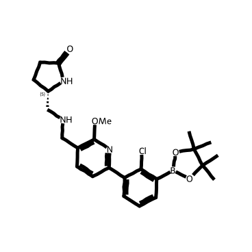 COc1nc(-c2cccc(B3OC(C)(C)C(C)(C)O3)c2Cl)ccc1CNC[C@@H]1CCC(=O)N1